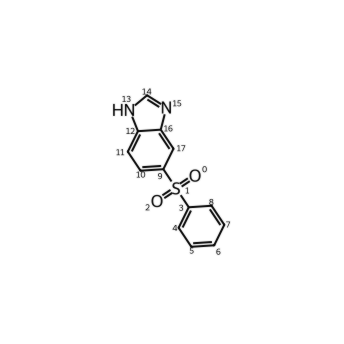 O=S(=O)(c1ccccc1)c1ccc2[nH]cnc2c1